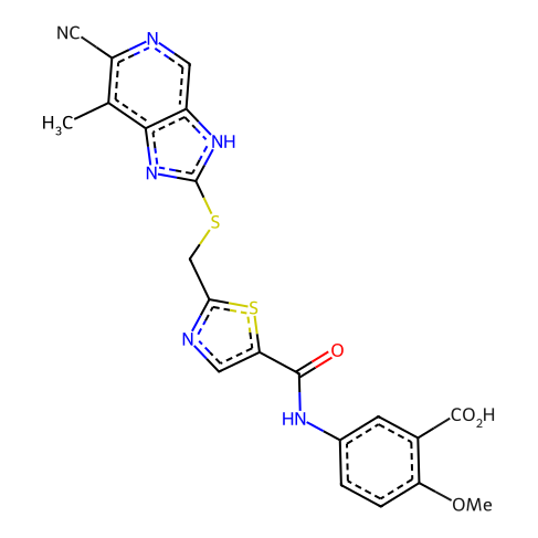 COc1ccc(NC(=O)c2cnc(CSc3nc4c(C)c(C#N)ncc4[nH]3)s2)cc1C(=O)O